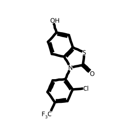 O=c1sc2cc(O)ccc2n1-c1ccc(C(F)(F)F)cc1Cl